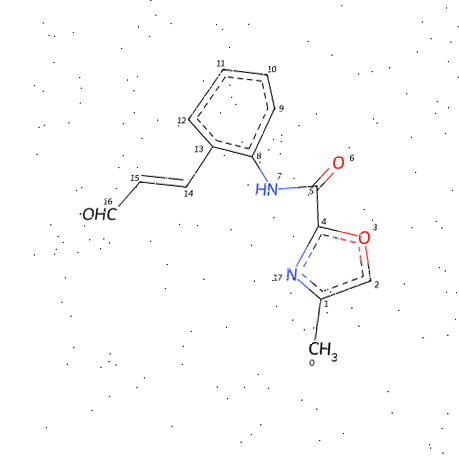 Cc1coc(C(=O)Nc2ccccc2/C=C/[C]=O)n1